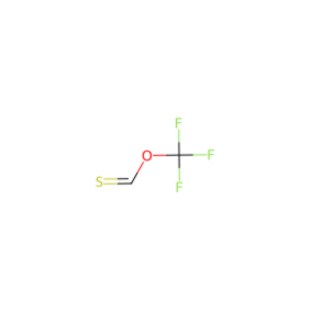 FC(F)(F)OC=S